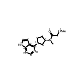 COCC(=O)N(C)[C@@H]1CCN(c2ncnc3[nH]ccc23)C1